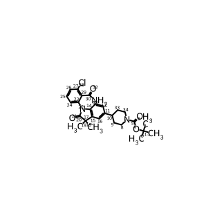 CC(C)(C)OC(=O)N1CCC(c2ccc3c(c2)C(C)(C)C(=O)N3c2cccc(Cl)c2C(N)=O)CC1